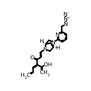 C=C/C=C(\C(=C)O)C(=O)/C=C/N1C[C@H]2C[C@@H]1CN2c1cccc(CN=[N+]=[N-])n1